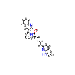 O=C(O)C[C@@H](c1cnc2ccccc2c1)N1CC(CCCCc2ccc3c(n2)NCCC3)C1=O